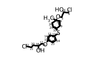 CC1(OCC(O)CCl)C=CC(Sc2ccc(OCC(O)CCCl)cc2)=CC1